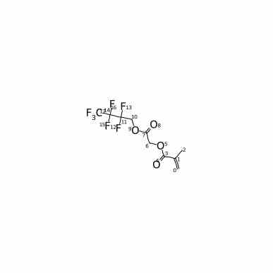 C=C(C)C(=O)OCC(=O)OCC(F)(F)C(F)(F)C(F)(F)F